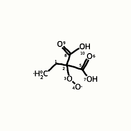 [CH2]CC(O[O])(C(=O)O)C(=O)O